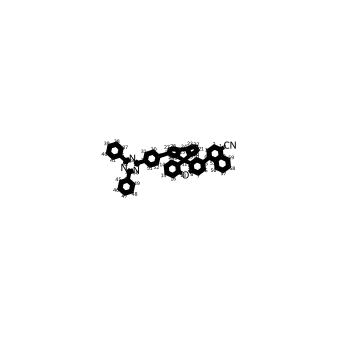 N#Cc1ccc(-c2ccc3c(c2)C2(c4ccccc4O3)c3ccccc3-c3ccc(-c4ccc(-c5nc(-c6ccccc6)nc(-c6ccccc6)n5)cc4)cc32)c2ccccc12